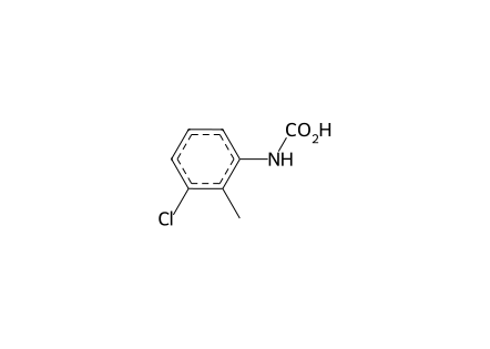 Cc1c(Cl)cccc1NC(=O)O